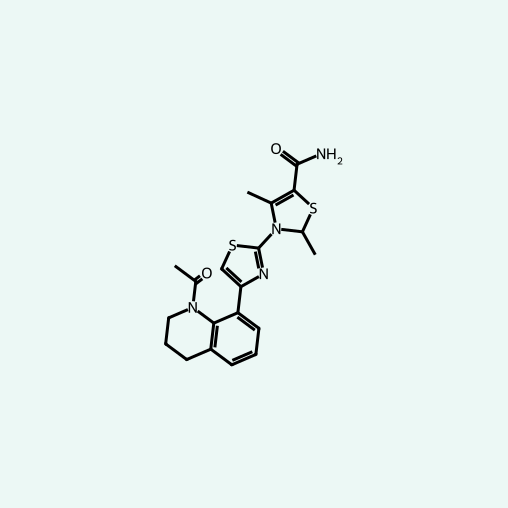 CC(=O)N1CCCc2cccc(-c3csc(N4C(C)=C(C(N)=O)SC4C)n3)c21